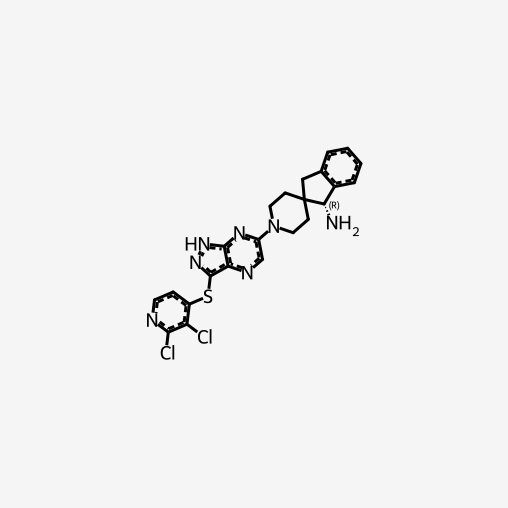 N[C@H]1c2ccccc2CC12CCN(c1cnc3c(Sc4ccnc(Cl)c4Cl)n[nH]c3n1)CC2